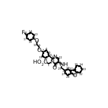 O=C(O)Cn1c(-c2ccc(OCCOc3ccc(F)cc3)cc2)ncc(NCc2ccc3oc4ccccc4c3c2)c1=O